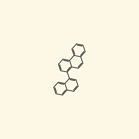 [c]1ccc(-c2cccc3c2ccc2ccccc23)c2ccccc12